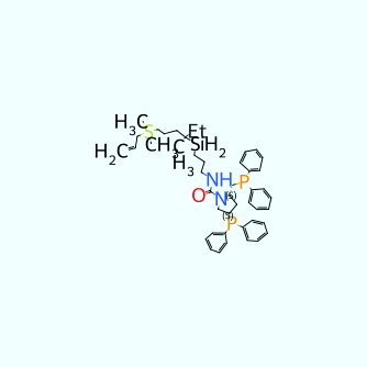 C=CCS(C)(C)CCCC(C)(CC)[SiH2]CCCNC(=O)N1C[C@@H](P(c2ccccc2)c2ccccc2)C[C@H]1CP(c1ccccc1)c1ccccc1